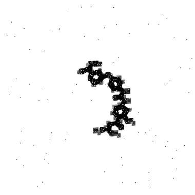 CNC(=O)c1cc(Oc2ccc(NC(=O)Nc3ccc(C(=O)C=C(C)C)c(C(F)(F)F)c3)cc2)ccn1